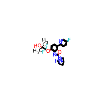 CC(C)(O)C(F)(F)Oc1ccc(-c2ccc(F)cn2)c2oc(N3CC4CC(C3)N4)nc12